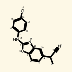 CC(C#N)c1ccc2oc(Nc3ccc(Cl)cc3)nc2c1